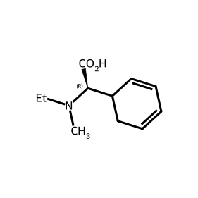 CCN(C)[C@@H](C(=O)O)C1C=CC=CC1